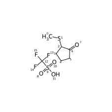 CSC1CCCC1=O.O=S(=O)(O)C(F)(F)F